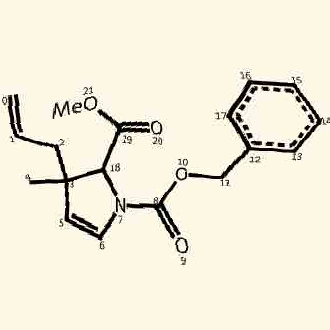 C=CCC1(C)C=CN(C(=O)OCc2ccccc2)C1C(=O)OC